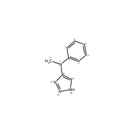 CN(c1ccccc1)c1[c][nH]nn1